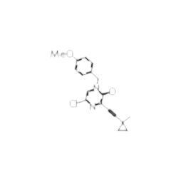 COc1ccc(Cn2cc(Cl)nc(C#CC3(C)CC3)c2=O)cc1